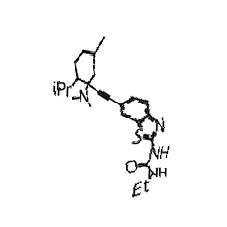 CCNC(=O)Nc1nc2ccc(C#CC3(N(C)C)CC(C)CCC3C(C)C)cc2s1